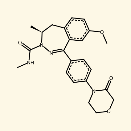 CNC(=O)N1N=C(c2ccc(N3CCOCC3=O)cc2)c2cc(OC)ccc2C[C@@H]1C